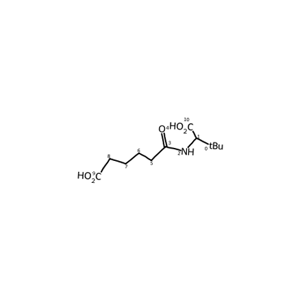 CC(C)(C)C(NC(=O)CCCCC(=O)O)C(=O)O